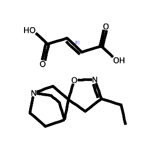 CCC1=NOC2(C1)CN1CCC2CC1.O=C(O)/C=C/C(=O)O